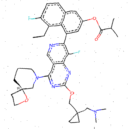 CCc1c(F)ccc2cc(OC(=O)C(C)C)cc(-c3ncc4c(N5CCC[C@@]6(CCO6)C5)nc(OCC5(CN(C)C)CC5)nc4c3F)c12